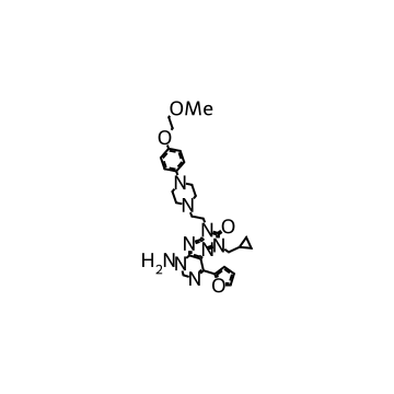 COCCOc1ccc(N2CCN(CCn3c(=O)n(CC4CC4)n4c5c(nc34)N(N)CN=C5c3ccco3)CC2)cc1